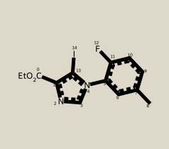 CCOC(=O)c1ncn(-c2cc(C)ccc2F)c1I